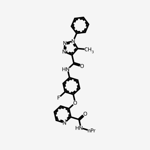 CCCNC(=O)c1ncccc1Oc1ccc(NC(=O)c2nnn(-c3ccccc3)c2C)cc1F